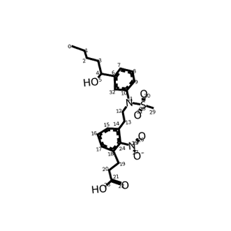 CCCCC(O)c1cccc(N(CCc2cccc(CCC(=O)O)c2[N+](=O)[O-])S(C)(=O)=O)c1